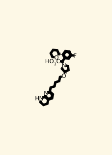 O=C(O)C(c1cc(F)ccc1[C@H]1CCCCO1)N1CC[C@@H](OCCCCCc2ccc3c(n2)NCCC3)C1